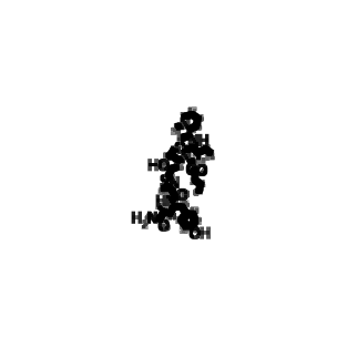 CCCC(=O)OCN(C(=O)[C@@H](NC(C)[C@H]1CCCCN1C)[C@H](C)CC)[C@H](C[C@@H](O)c1nc(C(=O)NC(Cc2ccc(O)cc2)C[C@H](C)C(N)=O)cs1)C(C)C